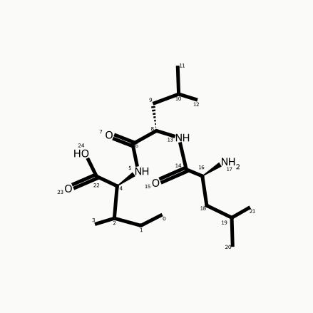 CCC(C)[C@H](NC(=O)[C@H](CC(C)C)NC(=O)[C@@H](N)CC(C)C)C(=O)O